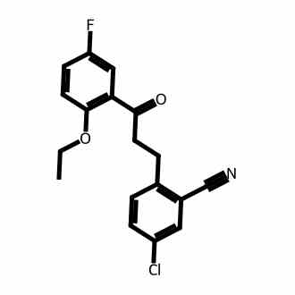 CCOc1ccc(F)cc1C(=O)CCc1ccc(Cl)cc1C#N